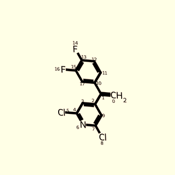 C=C(c1cc(Cl)nc(Cl)c1)c1ccc(F)c(F)c1